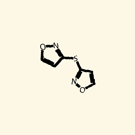 c1cc(Sc2ccon2)no1